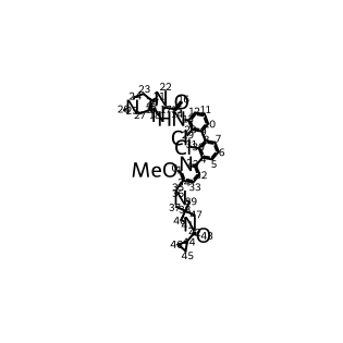 COc1nc(-c2cccc(-c3cccc(NC(=O)c4nc5c(n4C)CCN(C)C5)c3Cl)c2Cl)ccc1CN1CC2(C1)CN(C(=O)C1CC1)C2